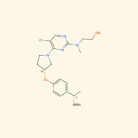 CC(=O)N[C@@H](C)c1ccc(O[C@@H]2CCN(c3nc(N(C)CCO)ncc3Cl)C2)cc1